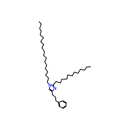 CCCCCCCCCCCCCCCCCCCn1cc(CCCc2ccccc2)nc1CCCCCCCCCCCC